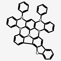 c1ccc(N2c3ccccc3B3c4c2cc2c5c4-n4c6c3cccc6c3c6oc7ccccc7c6cc(c34)B5c3ccccc3N2c2ccccc2)cc1